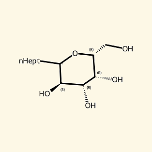 CCCCCCC[C]1O[C@H](CO)[C@H](O)[C@H](O)[C@H]1O